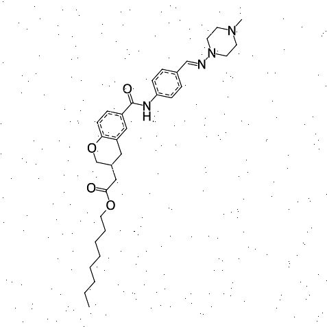 CCCCCCCCOC(=O)CC1COc2ccc(C(=O)Nc3ccc(C=NN4CCN(C)CC4)cc3)cc2C1